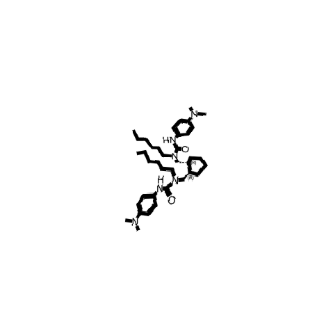 CCCCCCN(C[C@@H]1CCCC[C@H]1CN(CCCCCC)C(=O)Nc1ccc(N(C)C)cc1)C(=O)Nc1ccc(N(C)C)cc1